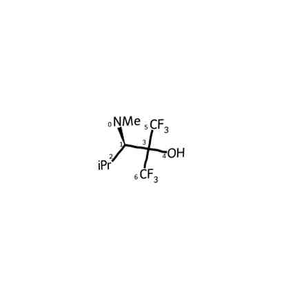 CN[C@H](C(C)C)C(O)(C(F)(F)F)C(F)(F)F